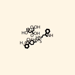 CN(C)C1(c2ccccc2)CCC(CNC(=S)NCCc2c[nH]c3ccccc23)CC1.O=C(O)CC(O)(CC(=O)O)C(=O)O